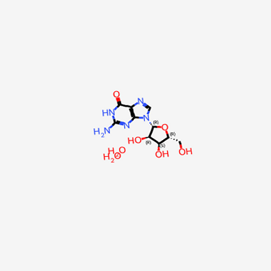 Nc1nc2c(ncn2[C@@H]2O[C@H](CO)[C@@H](O)[C@H]2O)c(=O)[nH]1.O.O